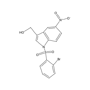 O=[N+]([O-])c1ccc2c(c1)c(CO)cn2S(=O)(=O)c1ccccc1Br